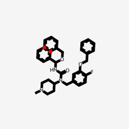 CN1CCC(N(Cc2ccc(F)c(OCc3ccccc3)c2)C(=O)NC(OCc2ccccc2)c2ccccc2)CC1